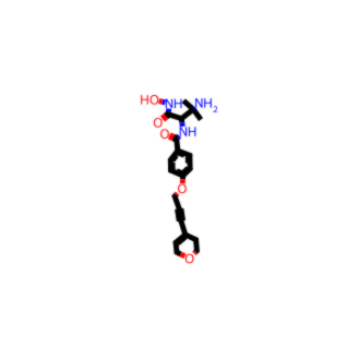 CC(C)(N)C(NC(=O)c1ccc(OCC#CC2=CCOCC2)cc1)C(=O)NO